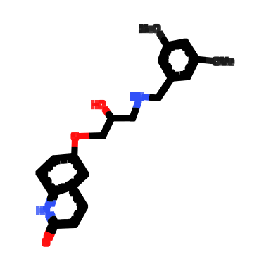 COc1cc(CNCC(O)COc2ccc3[nH]c(=O)ccc3c2)cc(OC)c1